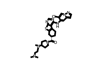 CN(C)CCN(C)C1CCN(C(=O)[C@H]2CCc3c(sc4ncnc(Nc5cc6ccnn6cc5Cl)c34)C2)CC1